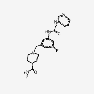 CNC(=O)C1CCN(Cc2cc(F)cc(NC(=O)Nc3cccnc3)c2)CC1